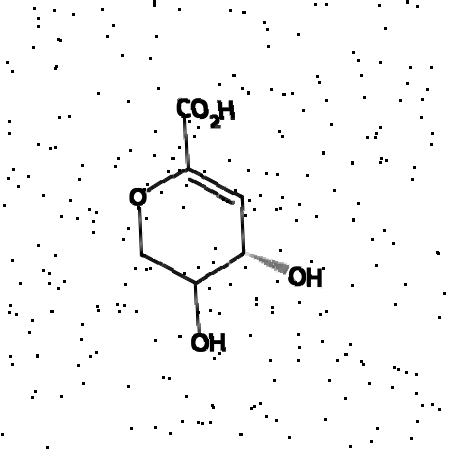 O=C(O)C1=C[C@H](O)C(O)CO1